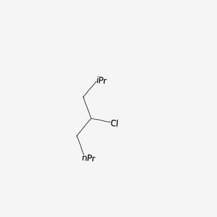 CCCCC(Cl)CC(C)C